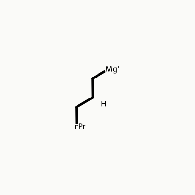 CCCCC[CH2][Mg+].[H-]